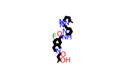 C[C@H](O)CC(=O)N1CCc2cc(F)c(C(=O)Nc3cccc(-c4nnc5n4[C@H](C)CC5)n3)cc2C1